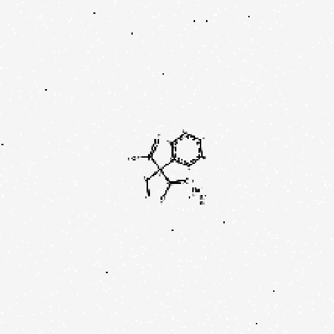 CCC(C(=O)[O-])(C(=O)[O-])c1ccccc1.[K+].[Na+]